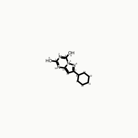 Oc1nc(O)n2nc(C3CCCCC3)cc2n1